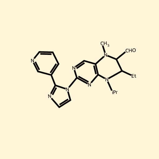 CCC1C(C=O)N(C)c2cnc(-n3ccnc3-c3cccnc3)nc2N1C(C)C